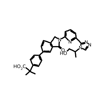 CC(CO)n1cnnc1-c1cccc(N2Cc3ccc(-c4ccc(C(C)(C)C(=O)O)cc4)cc3C2=O)n1